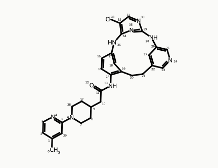 Cc1ccnc(N2CCC(CC(=O)Nc3ccc4cc3CCc3cncc(c3)Nc3ncc(Cl)c(n3)N4)CC2)c1